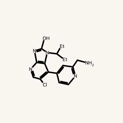 CCC(CC)n1c(O)nc2ncc(Cl)c(-c3ccnc(CN)c3)c21